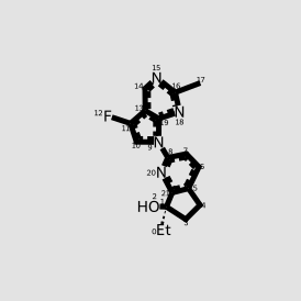 CC[C@@]1(O)CCc2ccc(-n3cc(F)c4cnc(C)nc43)nc21